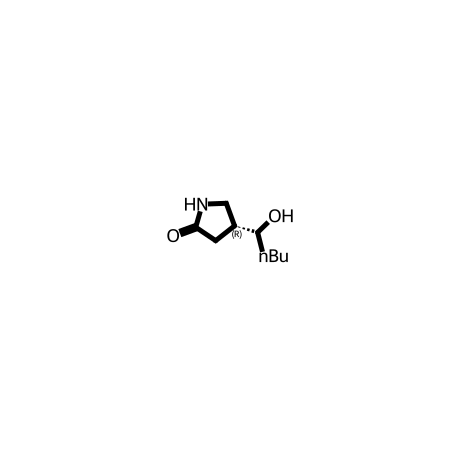 CCCCC(O)[C@H]1CNC(=O)C1